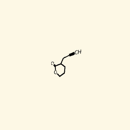 C#CCC1CCCOC1=O